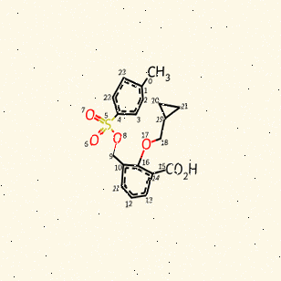 Cc1ccc(S(=O)(=O)OCc2cccc(C(=O)O)c2OCC2CC2)cc1